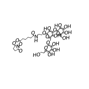 O=C(CCCCC(=O)ON1C(=O)CCC1=O)NCCO[C@H]1O[C@H](CO[C@H]2O[C@H](CCO)[C@@H](O)[C@H](O)[C@@H]2O)[C@@H](O)[C@H](O[C@H]2O[C@H](CO)[C@@H](O)[C@H](O)[C@@H]2O)[C@@H]1O